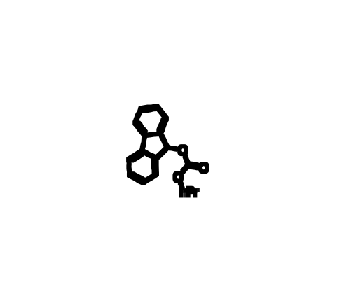 CCCOC(=O)OC1c2ccccc2-c2ccccc21